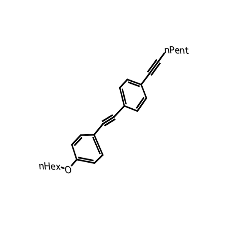 CCCCCC#Cc1ccc(C#Cc2ccc(OCCCCCC)cc2)cc1